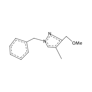 COCc1nn(Cc2ccccc2)cc1C